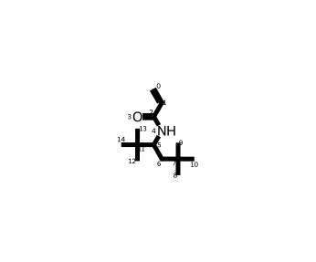 C=CC(=O)NC(CC(C)(C)C)C(C)(C)C